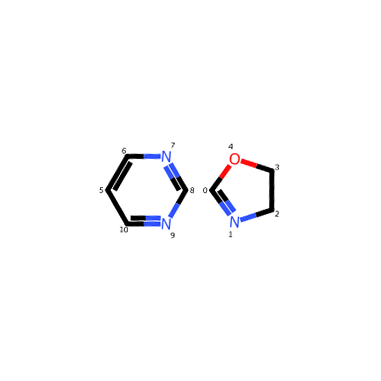 C1=NCCO1.c1cncnc1